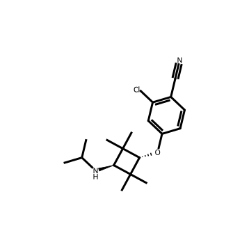 CC(C)N[C@H]1C(C)(C)[C@H](Oc2ccc(C#N)c(Cl)c2)C1(C)C